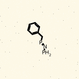 PN=PCc1ccccc1